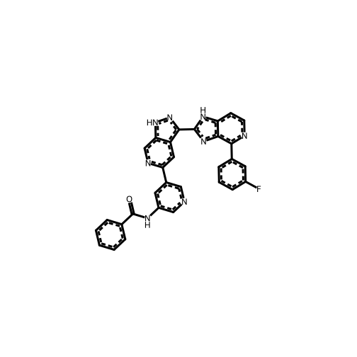 O=C(Nc1cncc(-c2cc3c(-c4nc5c(-c6cccc(F)c6)nccc5[nH]4)n[nH]c3cn2)c1)c1ccccc1